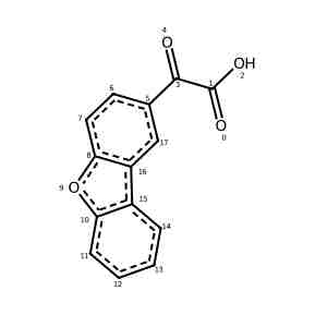 O=C(O)C(=O)c1ccc2oc3ccccc3c2c1